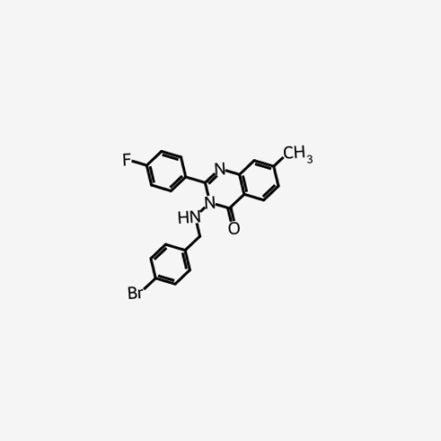 Cc1ccc2c(=O)n(NCc3ccc(Br)cc3)c(-c3ccc(F)cc3)nc2c1